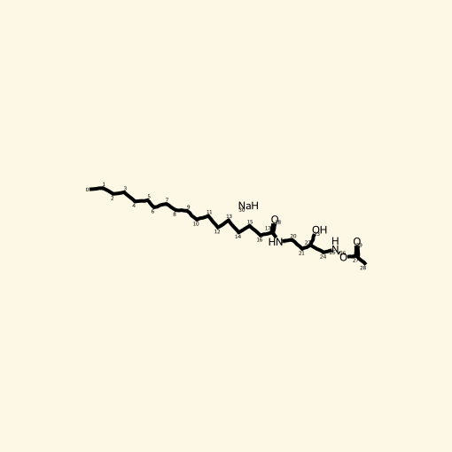 CCCCCCCCCCCCCCCCCC(=O)NCCC(O)CNOC(C)=O.[NaH]